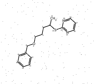 [CH2]C(CCCOCc1ccccc1)Sc1ncccn1